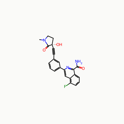 CN1CC[C@@](O)(C#Cc2cccc(-c3cc4c(F)cccc4c(C(N)=O)n3)c2)C1=O